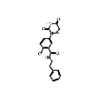 O=C(NCCc1ccccc1)c1cc(-n2ncc(=O)[nH]c2=O)ccc1Cl